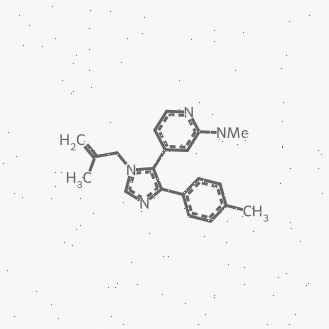 C=C(C)Cn1cnc(-c2ccc(C)cc2)c1-c1ccnc(NC)c1